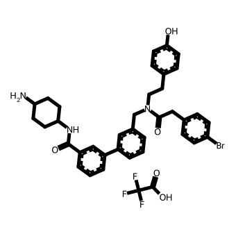 NC1CCC(NC(=O)c2cccc(-c3cccc(CN(CCc4ccc(O)cc4)C(=O)Cc4ccc(Br)cc4)c3)c2)CC1.O=C(O)C(F)(F)F